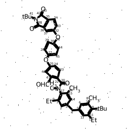 CCc1cc(Cc2cc(C)c(C(C)(C)C)c(CC)c2)cc(C)c1N(C)C(=O)c1ccc(Oc2ccc(Oc3ccc4c(c3)C(=O)N(C(C)(C)C)C4=O)cc2)cc1C=O